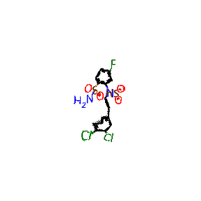 NS(=O)(=O)c1ccc(F)cc1N(C=Cc1ccc(Cl)c(Cl)c1)[SH](=O)=O